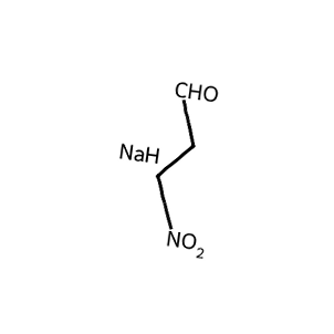 O=CCC[N+](=O)[O-].[NaH]